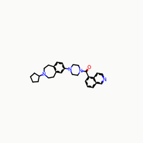 O=C(c1cccc2cnccc12)N1CCN(c2ccc3c(c2)CCN(C2CCCC2)CC3)CC1